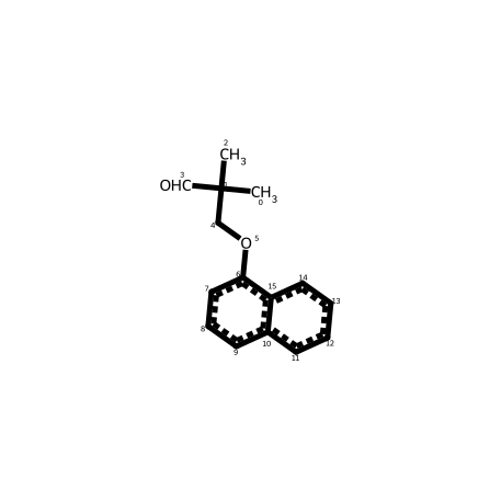 CC(C)(C=O)COc1cccc2ccccc12